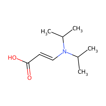 CC(C)N(C=CC(=O)O)C(C)C